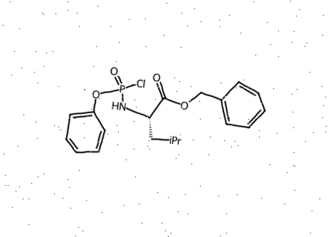 CC(C)C[C@H](NP(=O)(Cl)Oc1ccccc1)C(=O)OCc1ccccc1